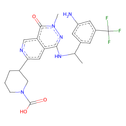 CC(Nc1nn(C)c(=O)c2cnc(C3CCCN(C(=O)O)C3)cc12)c1cc(N)cc(C(F)(F)F)c1